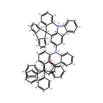 c1ccc(-c2ccc(-c3ccccc3N(c3cc4c5c(c3)c3ccccc3n5-c3ccccc3C43c4ccccc4-c4ccccc43)c3cccc4c3-c3ccccc3C4(c3ccccc3)c3ccccc3)cc2)cc1